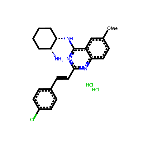 COc1ccc2nc(C=Cc3ccc(Cl)cc3)nc(N[C@H]3CCCC[C@H]3N)c2c1.Cl.Cl